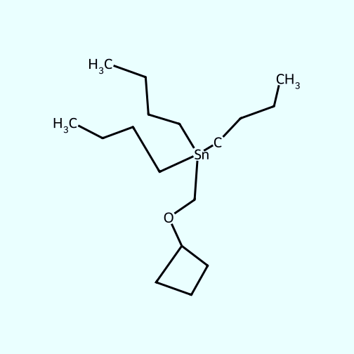 CCC[CH2][Sn]([CH2]CCC)([CH2]CCC)[CH2]OC1CCC1